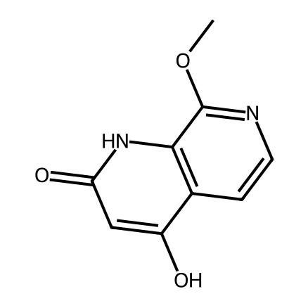 COc1nccc2c(O)cc(=O)[nH]c12